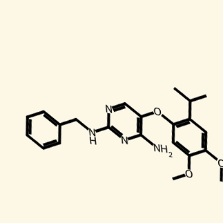 COc1cc(Oc2cnc(NCc3ccccc3)nc2N)c(C(C)C)cc1OC